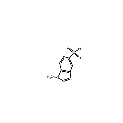 Cn1cnc2cc(S(=O)(=O)O)ccc21